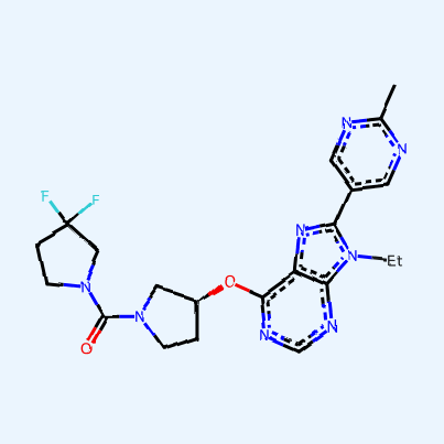 CCn1c(-c2cnc(C)nc2)nc2c(O[C@H]3CCN(C(=O)N4CCC(F)(F)C4)C3)ncnc21